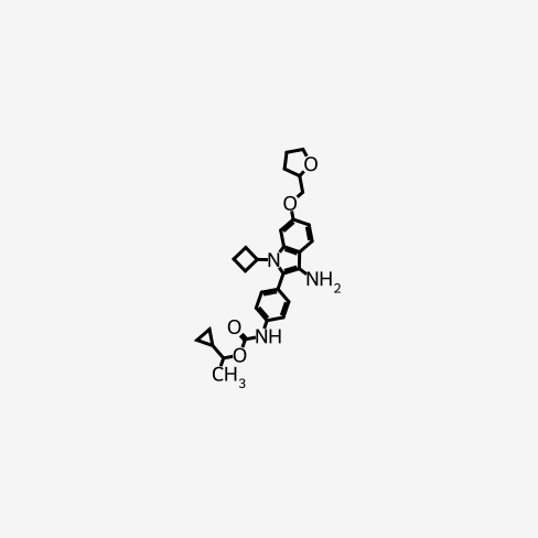 CC(OC(=O)Nc1ccc(-c2c(N)c3ccc(OCC4CCCO4)cc3n2C2CCC2)cc1)C1CC1